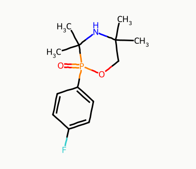 CC1(C)COP(=O)(c2ccc(F)cc2)C(C)(C)N1